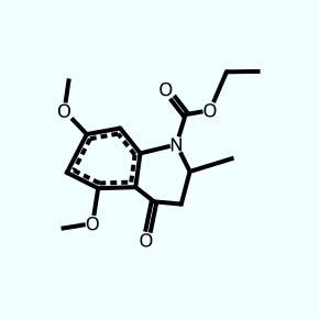 CCOC(=O)N1c2cc(OC)cc(OC)c2C(=O)CC1C